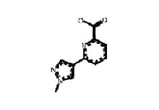 Cn1cc(-c2cccc(C(=O)Cl)n2)cn1